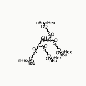 CCCCCCC(CCCC)C(=O)OCCCCSC(=O)CCN(CCCN(C)CCCN(CCC(=O)SCCCCOC(=O)C(CCCC)CCCCCC)CCC(=O)SCCCCOC(=O)C(CCCC)CCCCCC)CCC(=O)SCCCCOC(=O)C(CCCC)CCCCCC